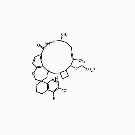 C/C1=C\CCC(C)SNC(=O)c2ccc3c(c2)N(C[C@@H]2CCC2C1OCC(=O)O)CC1(CCCc2c1ccc(Cl)c2F)CO3